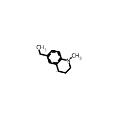 CCc1ccc2c(c1)[CH]CCN2C